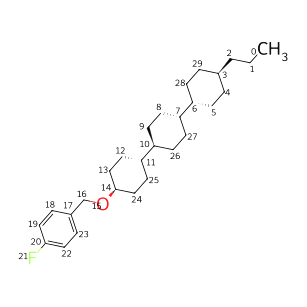 CCC[C@H]1CC[C@H]([C@H]2CC[C@H]([C@H]3CC[C@H](OCc4ccc(F)cc4)CC3)CC2)CC1